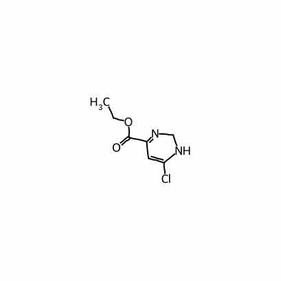 CCOC(=O)C1=NCNC(Cl)=C1